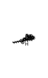 CCCCCCCCOC(=O)c1ccc(Cl)c(NC(=O)CC2=Nc3ccccc3S(=O)(=O)N2CCOC)c1